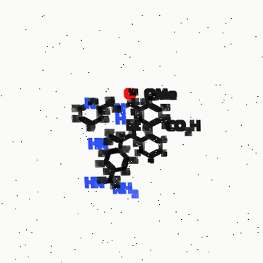 CCC(c1ccccc1-c1cc(C(=O)NCc2ccccn2)c(OC)cc1C(=O)O)c1c[nH]c2cc(C(=N)N)ccc12